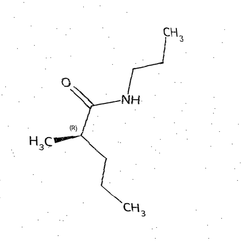 CCCNC(=O)[C@H](C)CCC